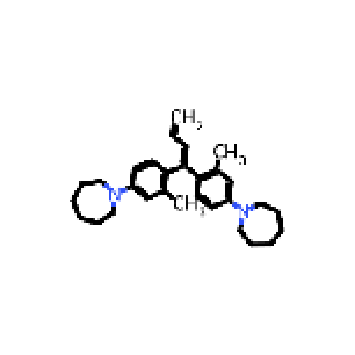 C=CC=C(c1ccc(N2CCCCCC2)cc1C)c1ccc(N2CCCCCC2)cc1C